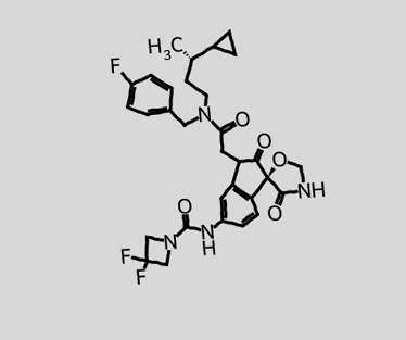 C[C@@H](CCN(Cc1ccc(F)cc1)C(=O)CC1C(=O)[C@@]2(OCNC2=O)c2ccc(NC(=O)N3CC(F)(F)C3)cc21)C1CC1